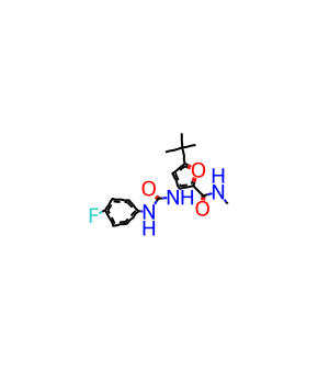 CNC(=O)c1oc(C(C)(C)C)cc1NC(=O)Nc1ccc(F)cc1